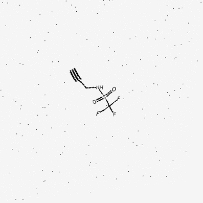 C#CCNS(=O)(=O)C(F)(F)F